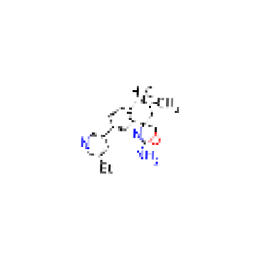 CCc1cncc(-c2ccc3c(c2)C2(COC(N)=N2)CC(C)(C)C3)c1